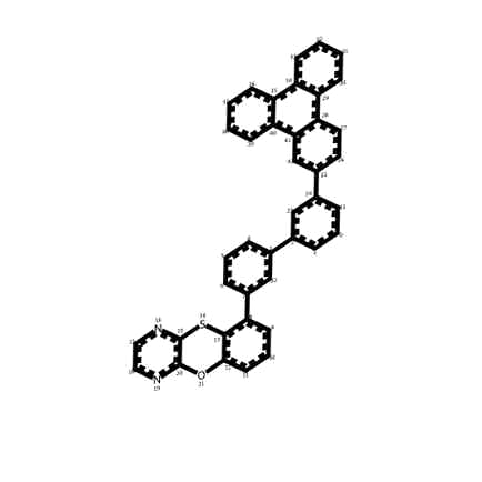 c1cc(-c2cccc(-c3cccc4c3Sc3nccnc3O4)c2)cc(-c2ccc3c4ccccc4c4ccccc4c3c2)c1